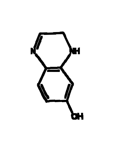 Oc1ccc2c(c1)NCC=N2